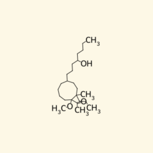 CCCCC(O)CCCC1CCCCC(OC)(C(C)=O)C(C)(CCC)CC1